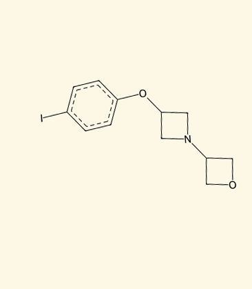 Ic1ccc(OC2CN(C3COC3)C2)cc1